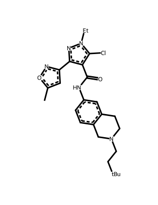 CCn1nc(-c2cc(C)on2)c(C(=O)Nc2ccc3c(c2)CCN(CCC(C)(C)C)C3)c1Cl